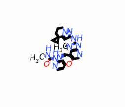 CNC(=O)Nc1cc(Oc2cnc3nc(Nc4cc5n(n4)CCCC54CC4)n(C)c3c2C#N)ccn1